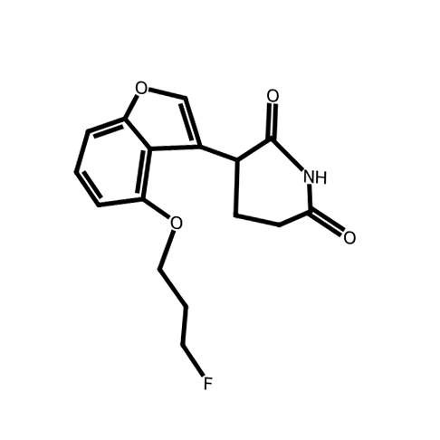 O=C1CCC(c2coc3cccc(OCCCF)c23)C(=O)N1